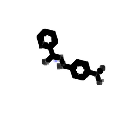 O=[N+]([O-])c1ccc(N/N=C(\Cl)c2ccccn2)cc1